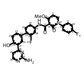 COc1ccn(-c2ccc(F)cc2)c(=O)c1C(=O)Nc1ccc(-c2ccc(O)c(-c3ccnc(N)n3)c2)c(F)c1